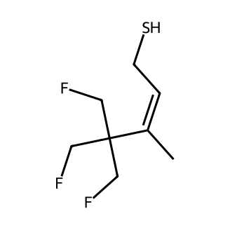 CC(=CCS)C(CF)(CF)CF